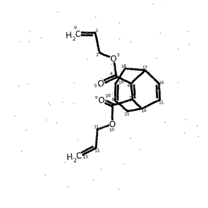 C=CCOC(=O)C1=C(C(=O)OCC=C)C2C=CC1CC=CC2